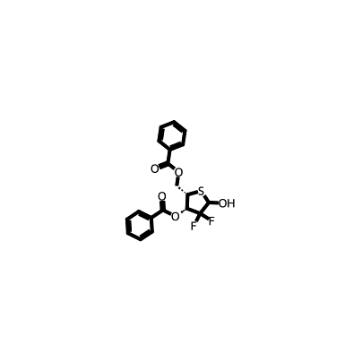 O=C(OC[C@@H]1SC(O)C(F)(F)[C@@H]1OC(=O)c1ccccc1)c1ccccc1